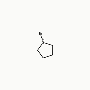 Br[SH]1CCCC1